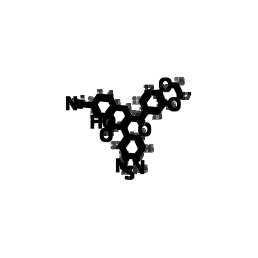 N#Cc1ccc(C/C(C(=O)c2ccc3c(c2)OCCO3)=C(\C(=O)O)c2ccc3nsnc3c2)cc1